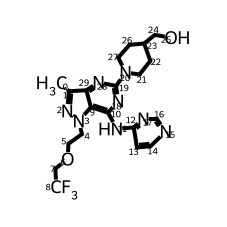 Cc1nn(CCOCC(F)(F)F)c2c(Nc3ccncn3)nc(N3CCC(CO)CC3)nc12